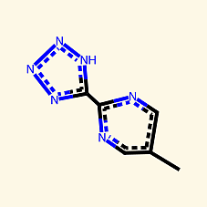 Cc1cnc(-c2nnn[nH]2)nc1